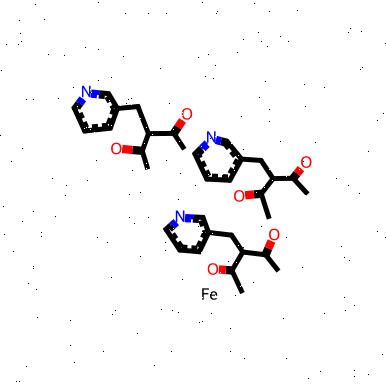 CC(=O)C(Cc1cccnc1)C(C)=O.CC(=O)C(Cc1cccnc1)C(C)=O.CC(=O)C(Cc1cccnc1)C(C)=O.[Fe]